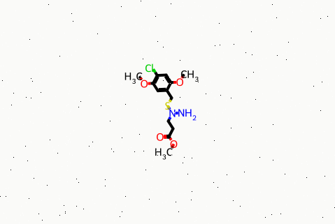 COC(=O)CCN(N)SCc1cc(OC)c(Cl)cc1OC